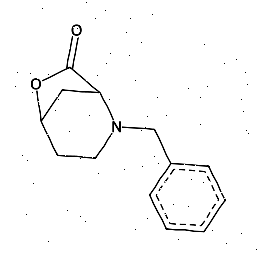 O=C1OC2CCN(Cc3ccccc3)C1C2